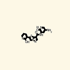 Cc1ncc(N)cc1NC(=O)c1cnn2cc(-c3cccnc3O)sc12